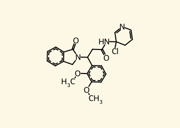 COc1cccc(C(CC(=O)NC2(Cl)C=NC=CC2)N2Cc3ccccc3C2=O)c1OC